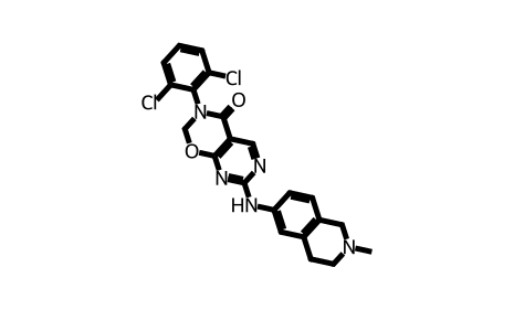 CN1CCc2cc(Nc3ncc4c(n3)OCN(c3c(Cl)cccc3Cl)C4=O)ccc2C1